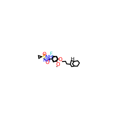 COc1cc(C(=O)NS(=N)(=O)C2CC2)c(F)cc1OCCCC1CC2CCC[C@H](C1)C2